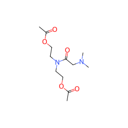 CC(=O)OCCN(CCOC(C)=O)C(=O)CN(C)C